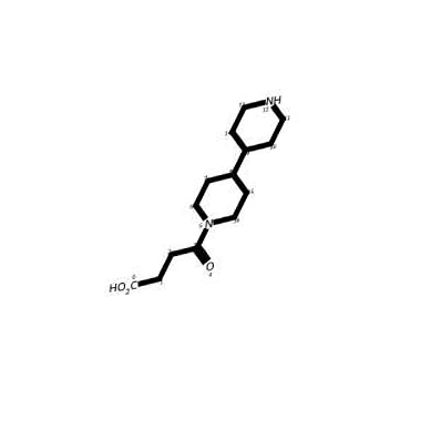 O=C(O)CCC(=O)N1CCC(C2CCNCC2)CC1